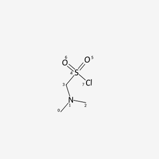 CN(C)CS(=O)(=O)Cl